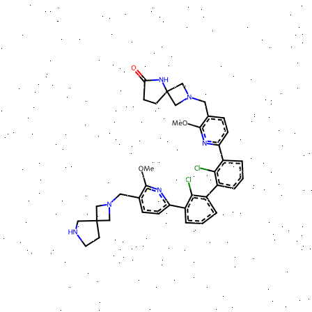 COc1nc(-c2cccc(-c3cccc(-c4ccc(CN5CC6(CCC(=O)N6)C5)c(OC)n4)c3Cl)c2Cl)ccc1CN1CC2(CCNC2)C1